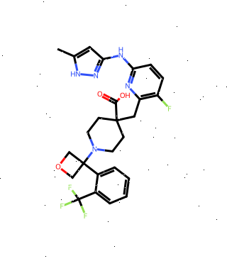 Cc1cc(Nc2ccc(F)c(CC3(C(=O)O)CCN(C4(c5ccccc5C(F)(F)F)COC4)CC3)n2)n[nH]1